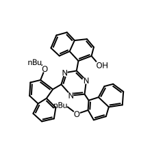 CCCCOc1ccc2ccccc2c1-c1nc(-c2c(O)ccc3ccccc23)nc(-c2c(OCCCC)ccc3ccccc23)n1